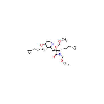 COCO[C@@]1(Cc2nccc3oc(CCC4CC4)cc23)C(=O)N(COC)[C@H]1CCCC1CC1